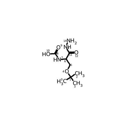 CC(C)(C)OCC(NC(=O)O)C(=O)NN